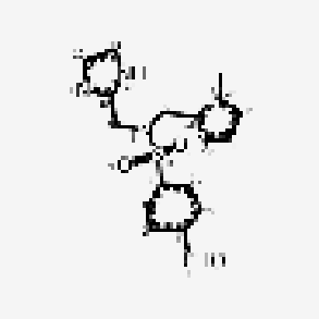 O=Cc1ccc(S(=O)(=O)N(Cc2ncc[nH]2)Cc2ncc[nH]2)cc1